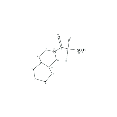 O=C(N1CCC2CCCCC2C1)C(F)(F)S(=O)(=O)O